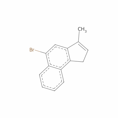 CC1=CCc2c1cc(Br)c1ccccc21